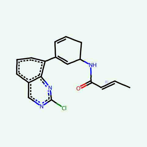 C/C=C/C(=O)NC1C=C(c2cccc3cnc(Cl)nc23)C=CC1